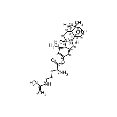 C=C(N)NCCCC(N)C(=O)Oc1cc(C)c2c(c1)C[C@@H]1[C@@]3(C)CCCC(C)(C)[C@@H]3CC[C@@]21C